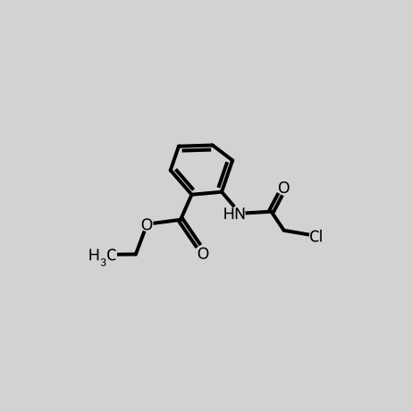 CCOC(=O)c1ccccc1NC(=O)CCl